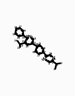 CC(C)c1cnc(-c2ccc(-c3cnc(-c4ccccc4)c(C(C)C)c3)cc2)cn1